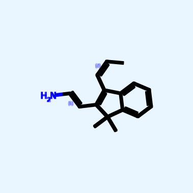 C/C=C\C1=C(/C=C/N)C(C)(C)c2ccccc21